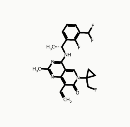 C=Cc1c(=O)n(C2(CF)CC2)cc2c(N[C@H](C)c3cccc(C(F)F)c3F)nc(C)nc12